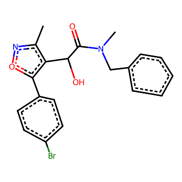 Cc1noc(-c2ccc(Br)cc2)c1C(O)C(=O)N(C)Cc1ccccc1